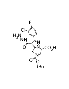 CC(C)(C)OC(=O)N1Cc2c(C(=O)N=NN)c(-c3ccc(F)c(Cl)c3)nn2C(C(=O)O)C1